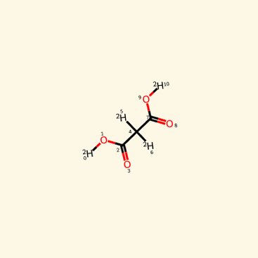 [2H]OC(=O)C([2H])([2H])C(=O)O[2H]